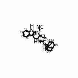 N#CCNC(=O)C(Cc1c[nH]c2ccccc12)NC(=O)NC12CC3CC(CC(C3)C1)C2